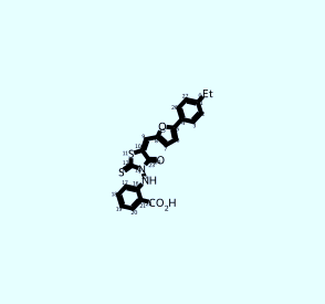 CCc1ccc(-c2ccc(/C=C3/SC(=S)N(Nc4ccccc4C(=O)O)C3=O)o2)cc1